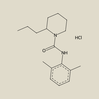 CCCC1CCCCN1C(=O)Nc1c(C)cccc1C.Cl